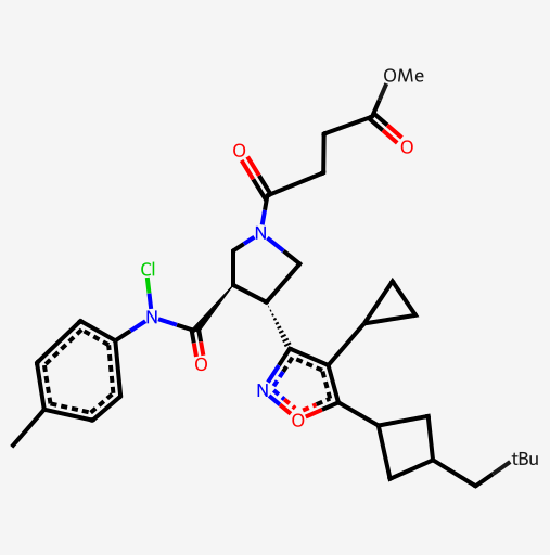 COC(=O)CCC(=O)N1C[C@H](C(=O)N(Cl)c2ccc(C)cc2)[C@@H](c2noc(C3CC(CC(C)(C)C)C3)c2C2CC2)C1